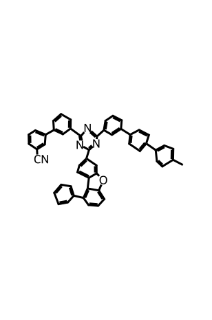 Cc1ccc(-c2ccc(-c3cccc(-c4nc(-c5cccc(-c6cccc(C#N)c6)c5)nc(-c5ccc6c(c5)oc5cccc(-c7ccccc7)c56)n4)c3)cc2)cc1